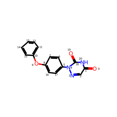 O=c1cnn(-c2ccc(Oc3ccccc3)cc2)c(=O)[nH]1